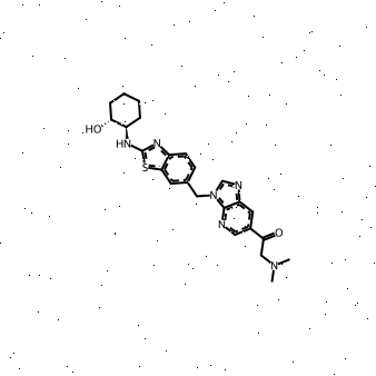 CN(C)CC(=O)c1cnc2c(c1)ncn2Cc1ccc2nc(N[C@@H]3CCCC[C@H]3O)sc2c1